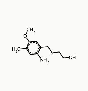 COc1cc(CSCCO)c(N)cc1C